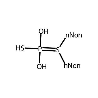 CCCCCCCCCS(CCCCCCCCC)=P(O)(O)S